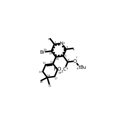 Cc1nc(C)c(C(OC(C)(C)C)C(=O)O)c(C2=CCC(C)(C)CC2)c1Br